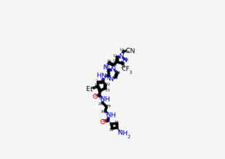 CCc1cc(Nc2nccn3c(-c4cn(CC#N)nc4C(F)(F)F)cnc23)ccc1C(=O)NCCCNC(=O)[C@H]1C[C@@H](N)C1